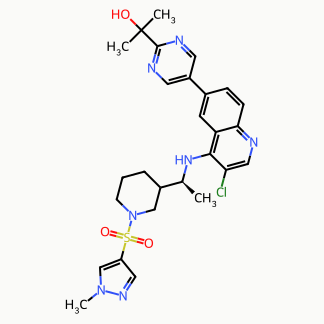 C[C@H](Nc1c(Cl)cnc2ccc(-c3cnc(C(C)(C)O)nc3)cc12)C1CCCN(S(=O)(=O)c2cnn(C)c2)C1